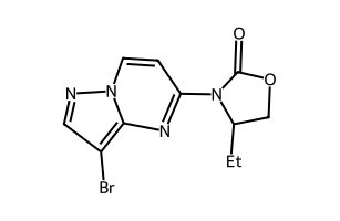 CCC1COC(=O)N1c1ccn2ncc(Br)c2n1